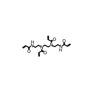 C=CC(=O)NCCN(CCN(CCNC(=O)C=C)C(=O)C=C)C(=O)C=C